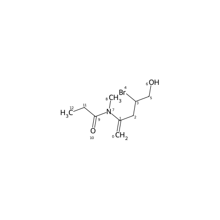 C=C(CC(Br)CO)N(C)C(=O)CC